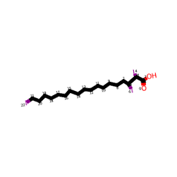 O=C(O)C(I)C(I)CCCCCCCCCCCCCCCI